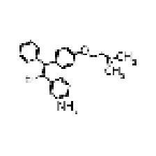 CC/C(=C(\c1ccccc1)c1ccc(OCCN(C)C)cc1)c1ccccc1.N